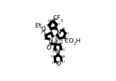 CCOC[C@H]1CN(C(=O)[C@@]2(F)CCN(C3CCOCC3)C2)C[C@@H]1c1ccc(C(F)(F)F)cc1N1CCC(C(=O)O)CC1